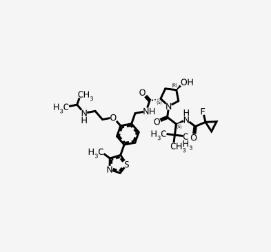 Cc1ncsc1-c1ccc(CNC(=O)[C@@H]2C[C@@H](O)CN2C(=O)[C@@H](NC(=O)C2(F)CC2)C(C)(C)C)c(OCCNC(C)C)c1